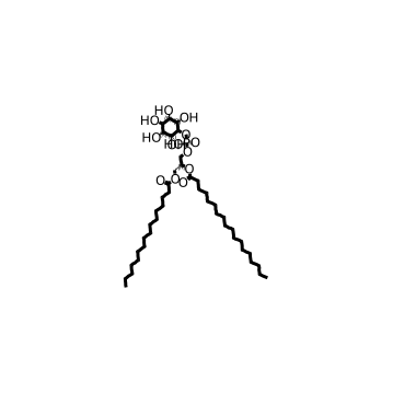 CCCCCCCCCCCCCCCCCC(=O)O[C@H](COC(=O)CCCCCCCCCCCCCCC)COP(=O)(O)OC1[C@H](O)[C@H](O)C(O)[C@H](O)[C@H]1O